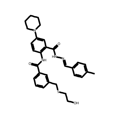 Cc1ccc(/C=N/NC(=O)c2cc(N3CCCCC3)ccc2NC(=O)c2cccc(CSCCO)c2)cc1